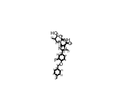 Cc1ccc(COc2ccc(-c3nc4c(c(=O)[nH]c(=O)n4CC(C)CO)n3C)cc2F)cc1